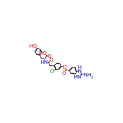 N=C(N)Nc1ccc(C(=O)Oc2ccc(CC(=O)N[C@@H](Cc3ccc(O)cc3)C(=O)O)c(Cl)c2)cc1